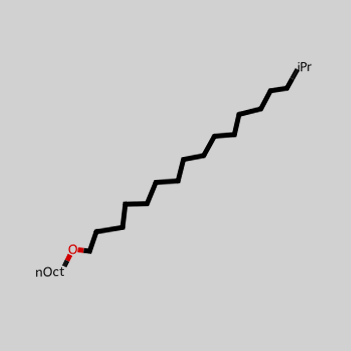 CCCCCCCCOCCCCCCCCCCCCCCCC(C)C